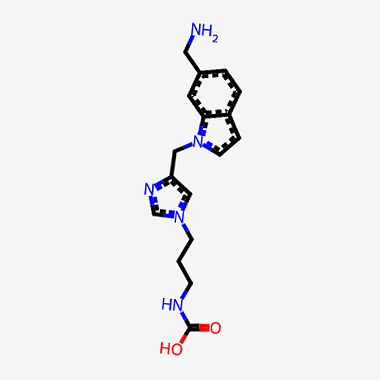 NCc1ccc2ccn(Cc3cn(CCCNC(=O)O)cn3)c2c1